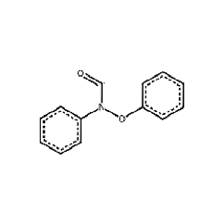 O=[C]N(Oc1ccccc1)c1ccccc1